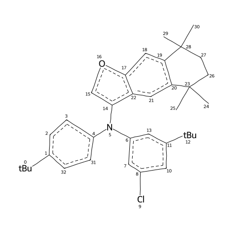 CC(C)(C)c1ccc(N(c2cc(Cl)cc(C(C)(C)C)c2)c2coc3cc4c(cc23)C(C)(C)CCC4(C)C)cc1